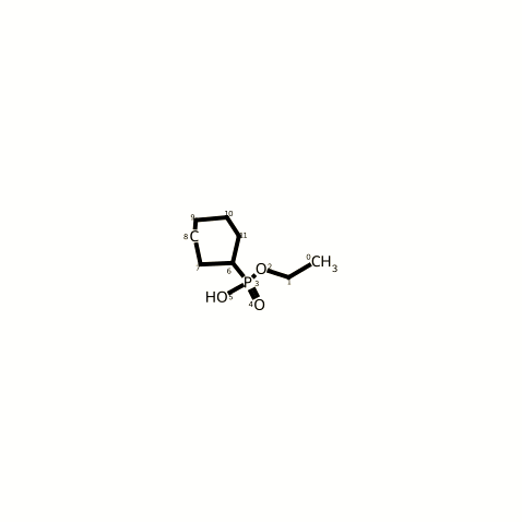 CCOP(=O)(O)C1CCCCC1